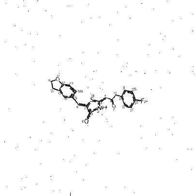 O=C(/C=c1\[nH]c(=O)/c(=C/c2ccc3c(c2)CCO3)s1)Cc1ccc(F)cc1